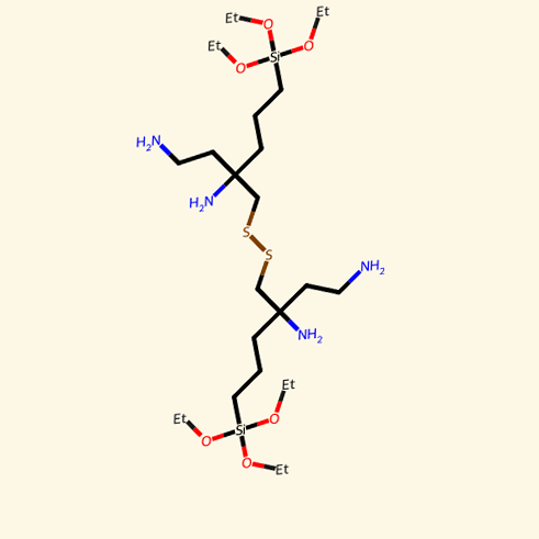 CCO[Si](CCCC(N)(CCN)CSSCC(N)(CCN)CCC[Si](OCC)(OCC)OCC)(OCC)OCC